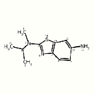 CC(C)N(C)c1nc2ccc(N)cc2s1